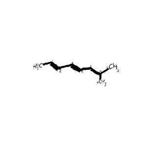 CC=CC=CC=C(C)C